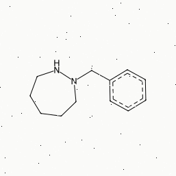 [CH](c1ccccc1)N1CCCCCN1